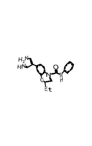 CCC1CN(C(=O)Nc2ccccc2)c2ccc(/C(C=N)=C/N)cc2O1